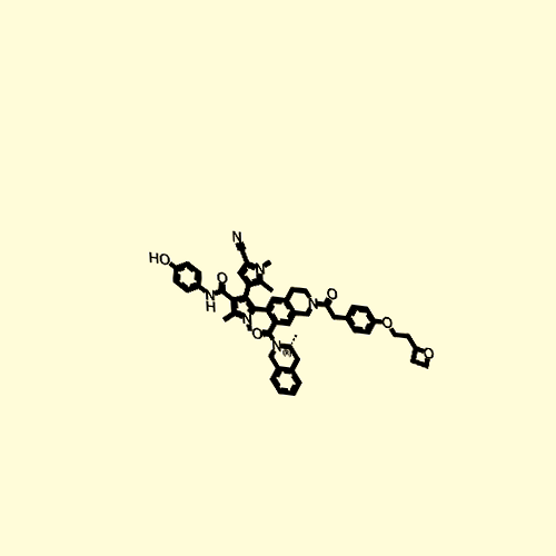 Cc1c(-c2c(C(=O)Nc3ccc(O)cc3)c(C)n(C)c2-c2cc3c(cc2C(=O)N2Cc4ccccc4C[C@H]2C)CN(C(=O)Cc2ccc(OCCC4CCO4)cc2)CC3)cc(C#N)n1C